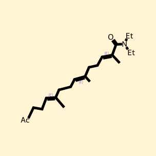 CCN(CC)C(=O)/C(C)=C/CC/C(C)=C/CC/C(C)=C/CCC(C)=O